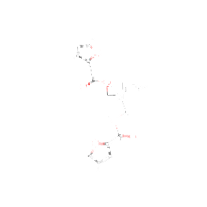 CCCCC[SiH](COC(=O)c1ccco1)COC(=O)c1ccco1